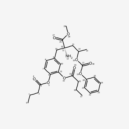 CCCC(=O)Oc1ccc(C[C@](N)(CC(C)OC(=O)Oc2ccccc2)C(=O)OC)cc1OC(=O)CCC